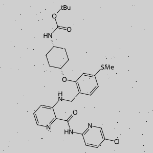 CSc1ccc(CNc2cccnc2C(=O)Nc2ccc(Cl)cn2)c(O[C@H]2CC[C@@H](NC(=O)OC(C)(C)C)CC2)c1